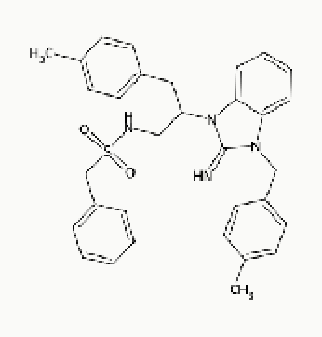 Cc1ccc(CC(CNS(=O)(=O)Cc2ccccc2)n2c(=N)n(Cc3ccc(C)cc3)c3ccccc32)cc1